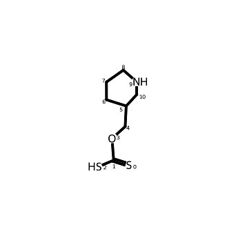 S=C(S)OCC1CCCNC1